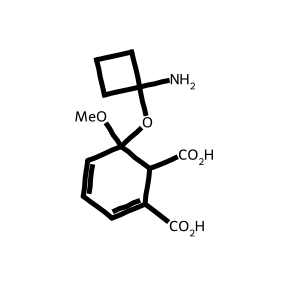 COC1(OC2(N)CCC2)C=CC=C(C(=O)O)C1C(=O)O